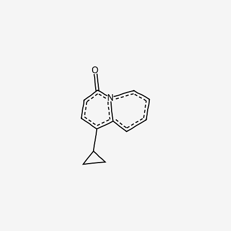 O=c1ccc(C2CC2)c2ccccn12